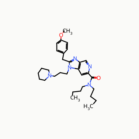 CCCCN(CCCC)C(=O)c1cc2c(cn1)nc(Cc1ccc(OC)cc1)n2CCCN1CCCCC1